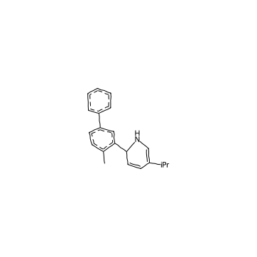 Cc1ccc(-c2ccccc2)cc1C1C=CC(C(C)C)=CN1